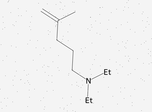 C=C(C)CCCN(CC)CC